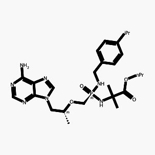 CCCOC(=O)C(C)(C)N[P@@](=O)(CO[C@H](C)Cn1cnc2c(N)ncnc21)NCc1ccc(C(C)C)cc1